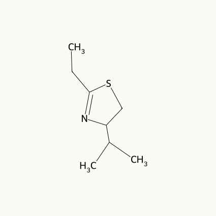 CCC1=NC(C(C)C)CS1